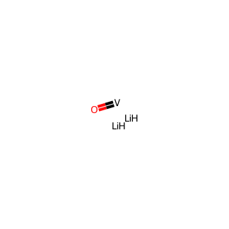 [LiH].[LiH].[O]=[V]